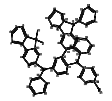 CC1(C)c2ccccc2-c2ccc(N(c3ccccc3)c3ccc(N(c4ccccc4)c4ccc(F)cc4)c(-c4ccc5c(c4)c4ccccc4n5-c4ccccc4)c3)cc21